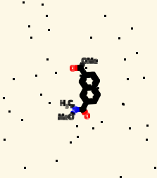 COC(=O)c1ccc2ccc(C(=O)N(C)OC)cc2c1